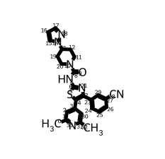 Cc1cc(-c2sc(NC(=O)N3CCC(n4cccn4)CC3)nc2-c2cccc(C#N)c2)cc(C)n1